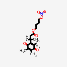 CC1=C(C)C(=O)C(C(C)(C)CC(=O)OCCCCO[N+](=O)[O-])=C(C)C1=O